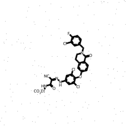 CCOC(=O)NC(=O)C(C#N)=NNc1cc(Cl)c(Oc2ccc3c(c2)CCN(Cc2ccc(F)c(Cl)c2)C3=O)c(Cl)c1